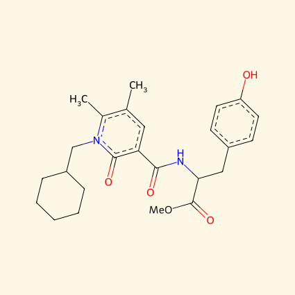 COC(=O)C(Cc1ccc(O)cc1)NC(=O)c1cc(C)c(C)n(CC2CCCCC2)c1=O